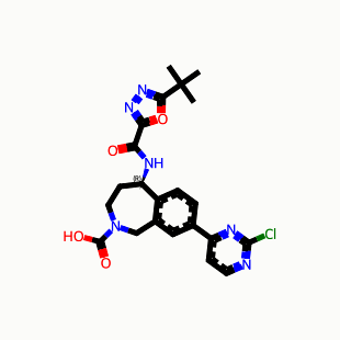 CC(C)(C)c1nnc(C(=O)N[C@@H]2CCN(C(=O)O)Cc3cc(-c4ccnc(Cl)n4)ccc32)o1